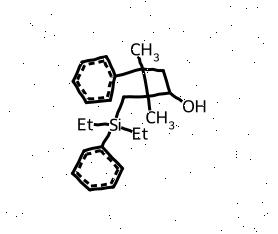 CC[Si](CC)(CC1(C)C(O)CC1(C)c1ccccc1)c1ccccc1